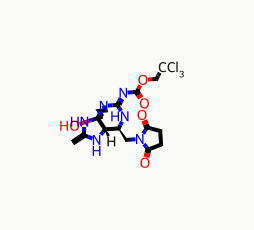 C=C1N[C@H]2[C@H](CN3C(=O)CCC3=O)N/C(=N\C(=O)OCC(Cl)(Cl)Cl)N3CCC(O)[C@]23N1